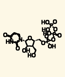 O=c1ccn([C@@H]2O[C@H](COP(=O)(O)OP(=O)(O)OP(=O)(O)O)[C@@H](CO)[C@H]2O)c(=O)[nH]1